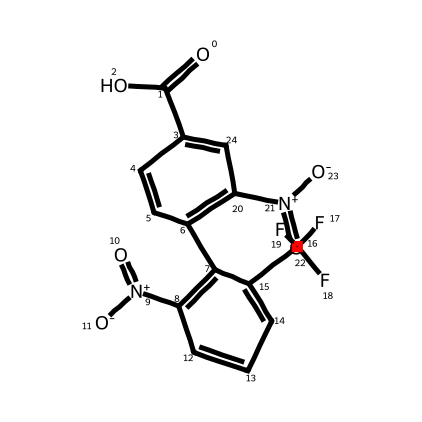 O=C(O)c1ccc(-c2c([N+](=O)[O-])cccc2C(F)(F)F)c([N+](=O)[O-])c1